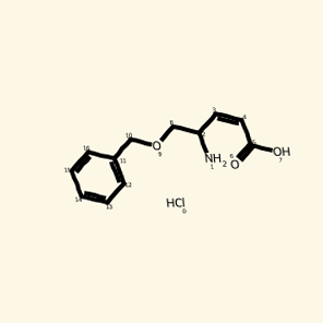 Cl.NC(/C=C\C(=O)O)COCc1ccccc1